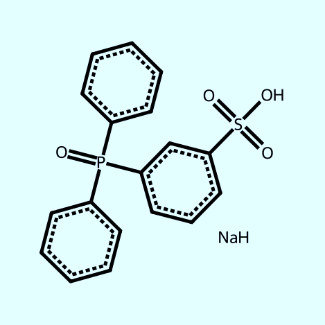 O=P(c1ccccc1)(c1ccccc1)c1cccc(S(=O)(=O)O)c1.[NaH]